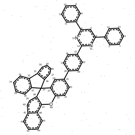 c1ccc(-c2cc(-c3ccccc3)nc(-c3ccc(-c4ccc5c(c4)C4(c6ccccc6-c6ccccc64)c4ccc6ccccc6c4O5)cc3)n2)cc1